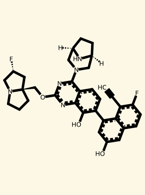 C#Cc1c(F)ccc2cc(O)cc(-c3ccc4c(N5C[C@H]6CC[C@@H](C5)N6)nc(OC[C@@]56CCCN5C[C@H](F)C6)nc4c3O)c12